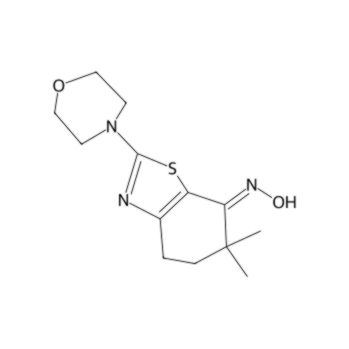 CC1(C)CCc2nc(N3CCOCC3)sc2/C1=N/O